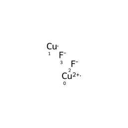 [Cu+2].[Cu].[F-].[F-]